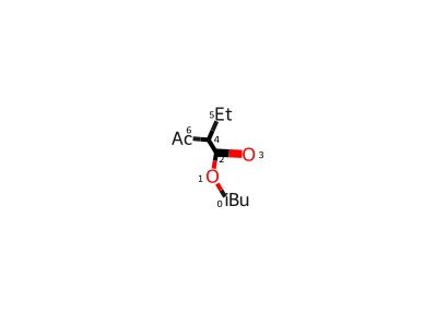 CCC(C)OC(=O)C(CC)C(C)=O